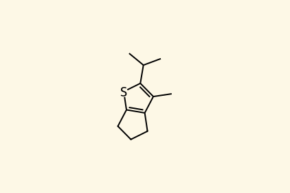 Cc1c(C(C)C)sc2c1CCC2